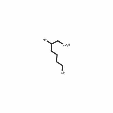 N#CC(CCCCO)CC(=O)O